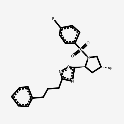 O=S(=O)(c1ccc(F)cc1)N1C[C@H](F)C[C@H]1c1nc(CCCc2ccccc2)no1